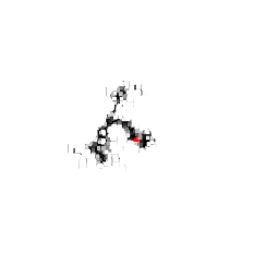 CC(C)(C)OC(=O)NCCCn1cc(-c2ccc3c(c2)CCC(C(C)(ON)C(=O)OC(C)(C)C)O3)c[n+]1CC1CN(C(=O)OC(C)(C)C)C1.O=S(=O)([O-])C(F)(F)F